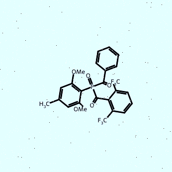 COc1cc(C)cc(OC)c1P(=O)(C(=O)c1ccccc1)C(=O)c1c(C(F)(F)F)cccc1C(F)(F)F